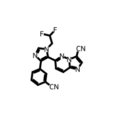 N#Cc1cccc(-c2ncn(CC(F)F)c2-c2ccc3ncc(C#N)n3n2)c1